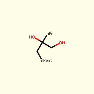 CCCCCCC(O)(CO)CCC